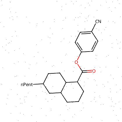 CCCCCC1CCC2C(CCCC2C(=O)Oc2ccc(C#N)cc2)C1